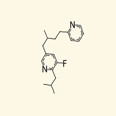 CC(C)Cc1ncc(CC(C)CCc2ccccn2)cc1F